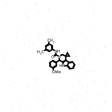 COc1cccc(C2c3[nH]c4ccccc4c3C3(CC3)CN2C(=O)Nc2cc(C)cc(C)c2)c1